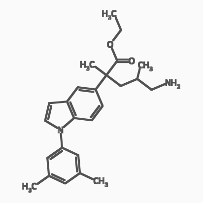 CCOC(=O)C(C)(CC(C)CN)c1ccc2c(ccn2-c2cc(C)cc(C)c2)c1